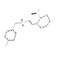 O=[N+]([O-])c1ccccc1C=CS(=O)(=O)Cc1ccc(F)cc1